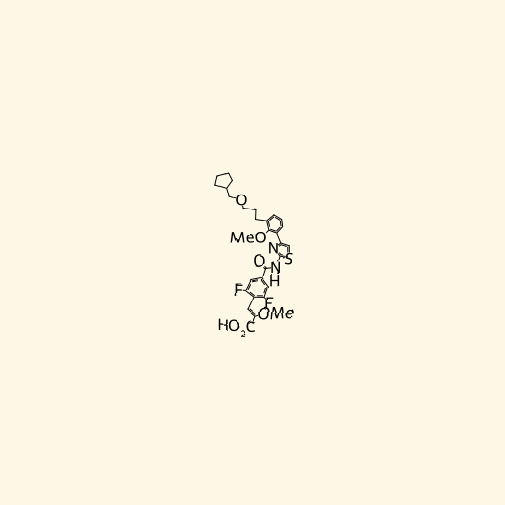 CO/C(=C\c1c(F)cc(C(=O)Nc2nc(-c3cccc(CCCOCC4CCCC4)c3OC)cs2)cc1F)C(=O)O